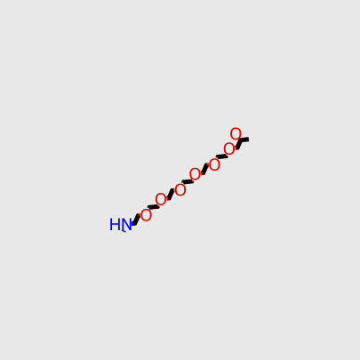 CNCCOCCOCCOCCOCCOCCOCC(C)=O